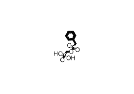 O=P(O)(O)COS(=O)(=O)Cc1ccccc1